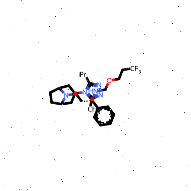 Cc1nnc(C(C)C)n1C1CC2CCC(C1)N2CC[C@H](NCOCCC(F)(F)F)c1ccccc1